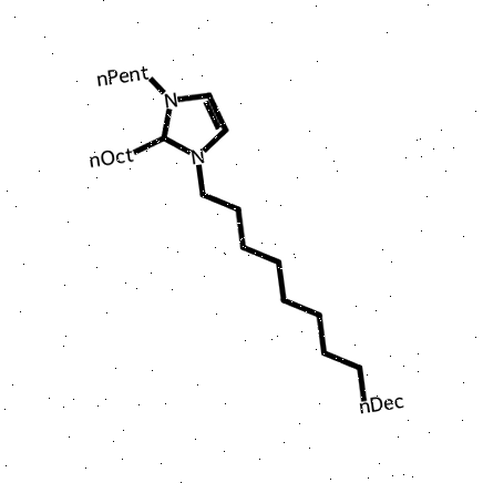 CCCCCCCCCCCCCCCCCCN1C=CN(CCCCC)C1CCCCCCCC